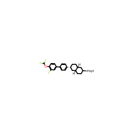 CCCCCCCC1CC[C@@H]2C[C@H](c3ccc(-c4ccc(OC(F)F)c(F)c4)cc3)CC[C@@H]2C1